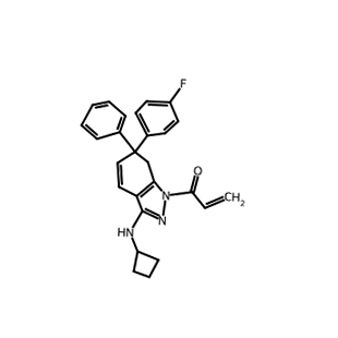 C=CC(=O)n1nc(NC2CCC2)c2c1CC(c1ccccc1)(c1ccc(F)cc1)C=C2